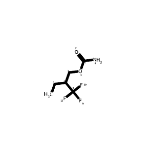 CCC(COC(N)=O)C(F)(F)F